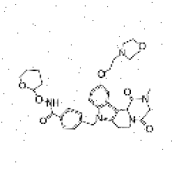 CN1CC(=O)N2CCc3c(c4cc(OCCN5CCOCC5)ccc4n3Cc3ccc(C(=O)NOC4CCCCO4)cc3)C2C1=O